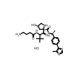 Cc1ncsc1-c1ccc([C@H](C)NC(=O)[C@@]2(C(=O)C(NC(=O)CCCN)C(C)(C)C)C[C@@H](O)CN2)cc1.Cl